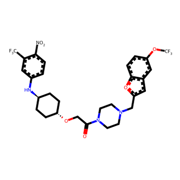 O=C(CO[C@H]1CC[C@H](Nc2ccc([N+](=O)[O-])c(C(F)(F)F)c2)CC1)N1CCN(Cc2cc3cc(OC(F)(F)F)ccc3o2)CC1